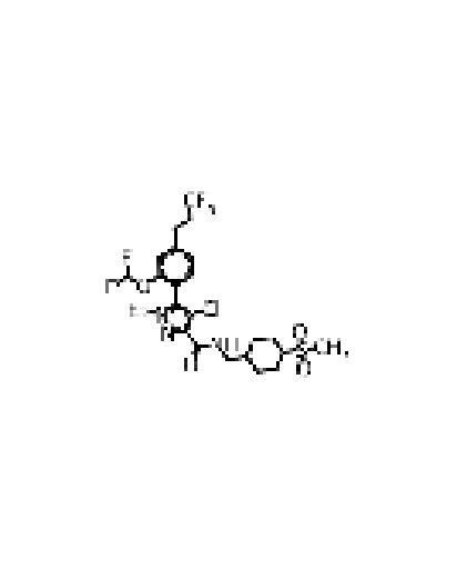 CCn1nc(C(=O)NCC2CCC(S(C)(=O)=O)CC2)c(Cl)c1-c1ccc(CCC(F)(F)F)cc1OC(F)F